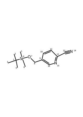 CC(C)(C)[Si](C)(C)OCc1ccc(C#N)nc1